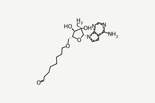 C[C@@]1(O)[C@H](O)[C@@H](COCCCCCCCC=O)O[C@H]1n1ccc2c(N)ncnc21